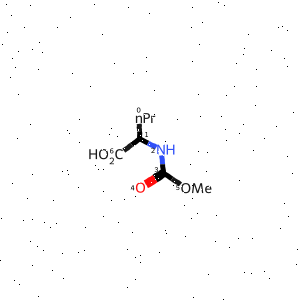 CCCC(NC(=O)OC)C(=O)O